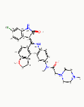 CN1CCN(CC(=O)N(C)c2ccc(N/C(=C3\C(=O)Nc4cc(F)ccc43)c3ccc4c(c3)CCO4)cc2)CC1